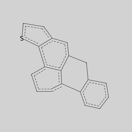 c1ccc2c(c1)Cc1cc3ccsc3c3cccc-2c13